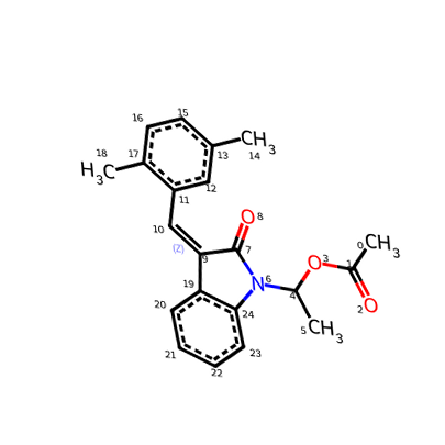 CC(=O)OC(C)N1C(=O)/C(=C\c2cc(C)ccc2C)c2ccccc21